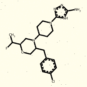 CC(F)C1CN(C2CCN(c3nnc(N)[nH]3)CC2)C(Cc2ccc(Cl)cc2)CO1